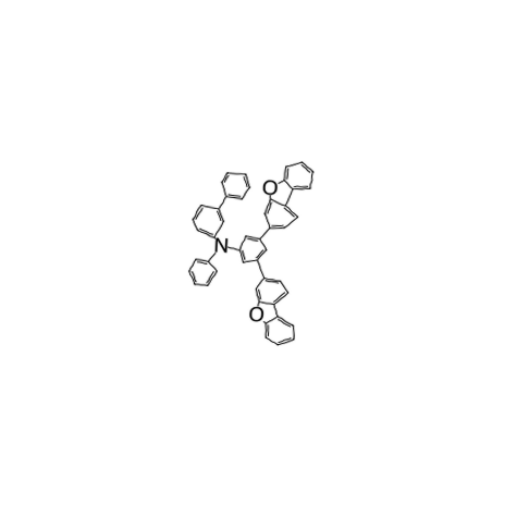 c1ccc(-c2cccc(N(c3ccccc3)c3cc(-c4ccc5c(c4)oc4ccccc45)cc(-c4ccc5c(c4)oc4ccccc45)c3)c2)cc1